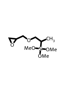 CO[Si](OC)(OC)C(C)COCC1CO1